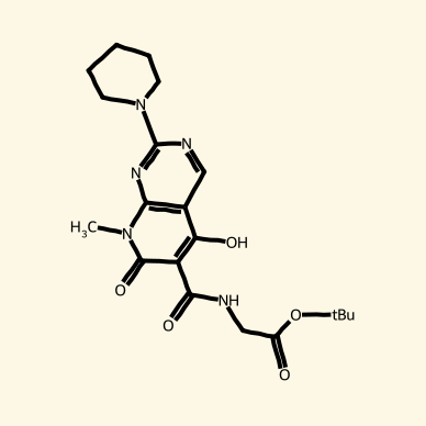 Cn1c(=O)c(C(=O)NCC(=O)OC(C)(C)C)c(O)c2cnc(N3CCCCC3)nc21